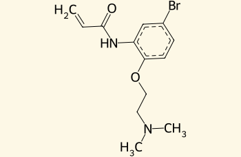 C=CC(=O)Nc1cc(Br)ccc1OCCN(C)C